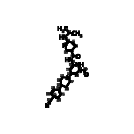 CC(C)Nc1ccc(C(=O)NC2=CC(N3CCC(c4ccc(C#N)cc4)CC3)=CN(C=O)N2)cn1